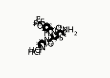 Cl.Cl.N[C@H]1CSC2=CC(C(=O)Nc3cccnc3)=CN(Cc3ccc(OC(F)(F)F)cc3)C2C1=O